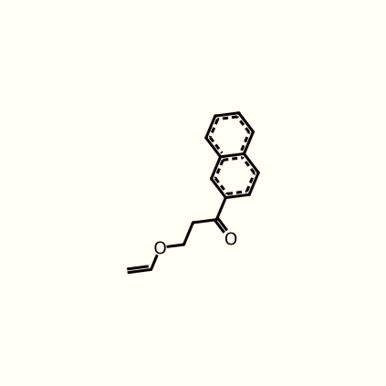 C=COCCC(=O)c1ccc2ccccc2c1